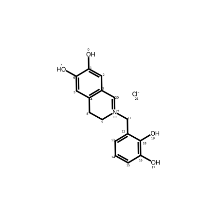 Oc1cc2c(cc1O)CC[N+](Cc1cccc(O)c1O)=C2.[Cl-]